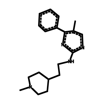 Cc1cnc(NCCC2CCN(C)CC2)nc1-c1ccccc1